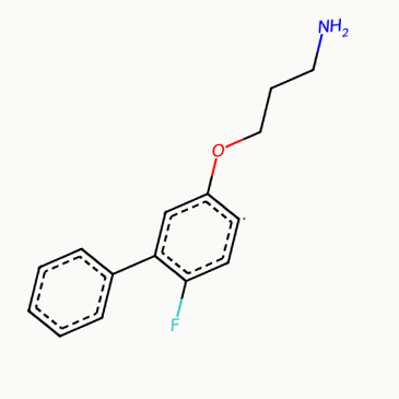 NCCCOc1[c]cc(F)c(-c2ccccc2)c1